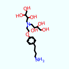 NCCCCc1ccc(OCCN(CC(O)C(O)CO)CC(O)C(O)CO)cc1